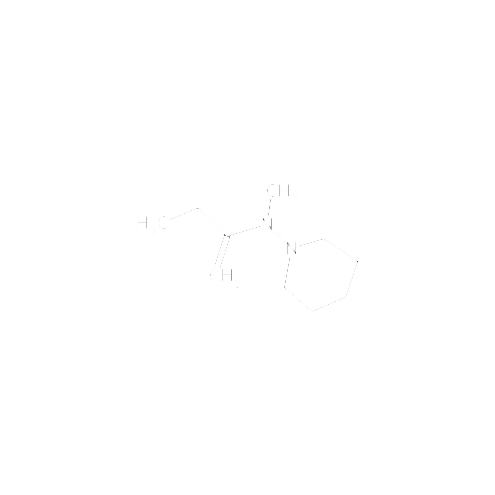 C=C(CC)N(C)N1CCCCC1